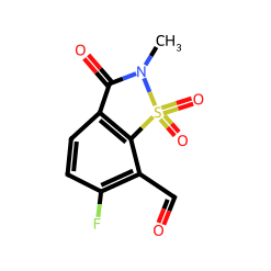 CN1C(=O)c2ccc(F)c(C=O)c2S1(=O)=O